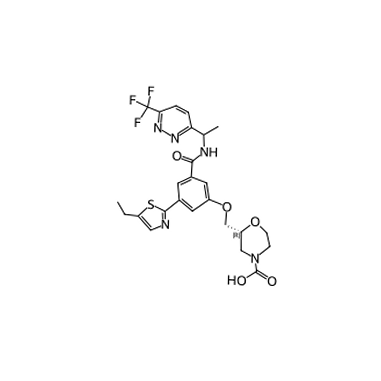 CCc1cnc(-c2cc(OC[C@H]3CN(C(=O)O)CCO3)cc(C(=O)NC(C)c3ccc(C(F)(F)F)nn3)c2)s1